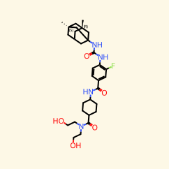 C[C@]12CC3CC(NC(=O)Nc4ccc(C(=O)NC5CCC(C(=O)N(CCO)CCO)CC5)cc4F)(C1)C[C@@](C)(C3)C2